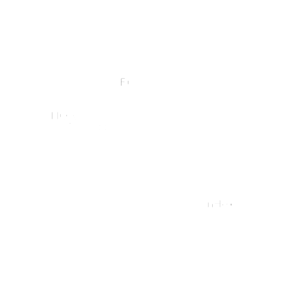 CCCCCCCCCCC(CC)OC(=O)O